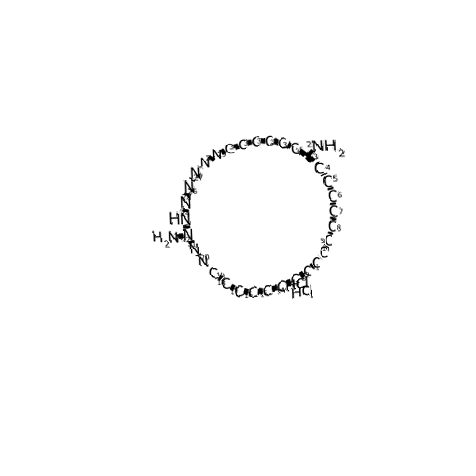 Cl.Cl.Nc1ccccccccccccccccnnn(N)[nH]nnnnncccccc1